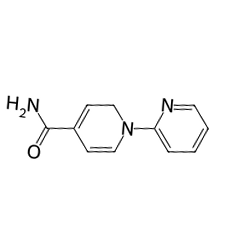 NC(=O)C1=CCN(c2ccccn2)C=C1